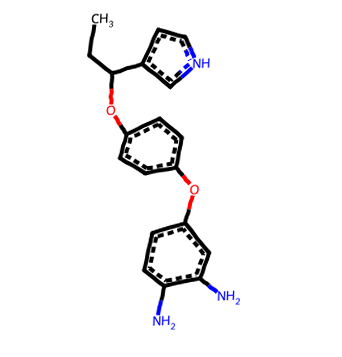 CCC(Oc1ccc(Oc2ccc(N)c(N)c2)cc1)c1cc[nH]c1